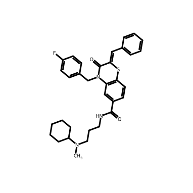 CN(CCCNC(=O)c1ccc2c(c1)N(Cc1ccc(F)cc1)C(=O)C(=Cc1ccccc1)S2)C1CCCCC1